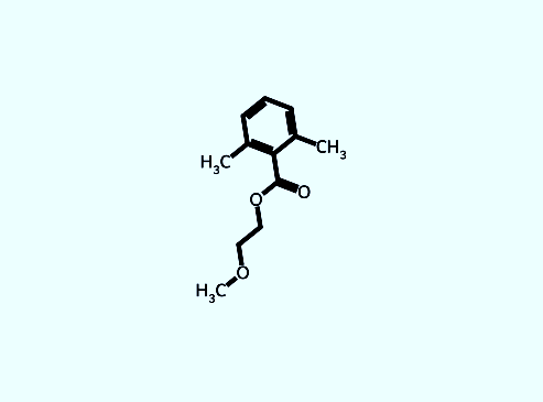 COCCOC(=O)c1c(C)cccc1C